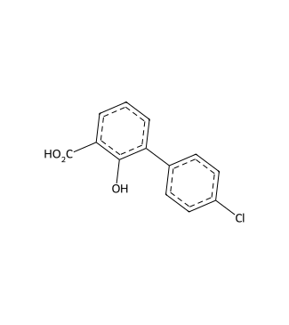 O=C(O)c1cccc(-c2ccc(Cl)cc2)c1O